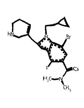 CN(C)C(=O)c1cc(Br)c2c(cc(C3=CCCNC3)n2CC2CC2)c1F